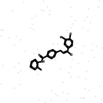 Cc1ccccc1NC(=O)c1ccc(C/C=C(/Cl)c2ccc(Cl)c(Cl)c2)cc1